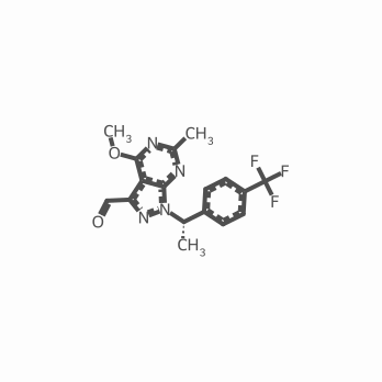 COc1nc(C)nc2c1c(C=O)nn2[C@@H](C)c1ccc(C(F)(F)F)cc1